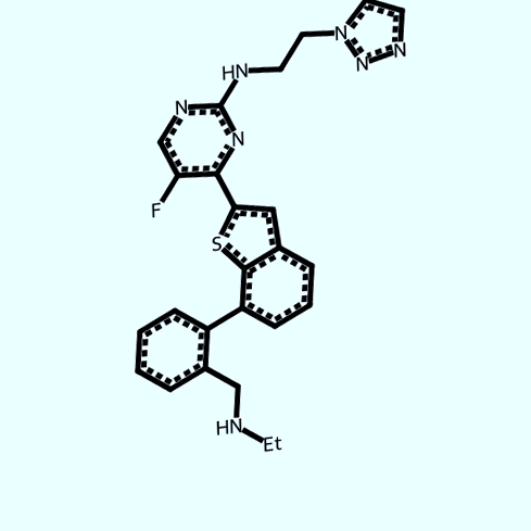 CCNCc1ccccc1-c1cccc2cc(-c3nc(NCCn4ccnn4)ncc3F)sc12